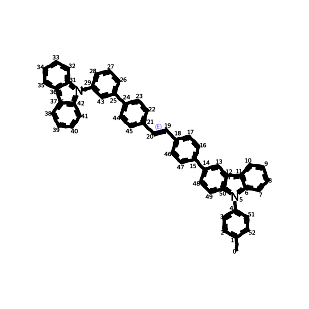 Cc1ccc(-n2c3ccccc3c3cc(-c4ccc(/C=C/c5ccc(-c6cccc(-n7c8ccccc8c8ccccc87)c6)cc5)cc4)ccc32)cc1